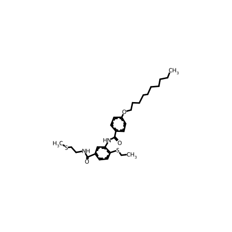 CCCCCCCCCCOc1ccc(C(=O)Nc2cc(C(=O)NCCSC)ccc2SCC)cc1